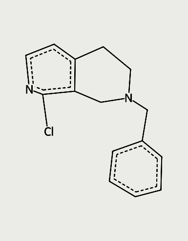 Clc1nccc2c1CN(Cc1ccccc1)CC2